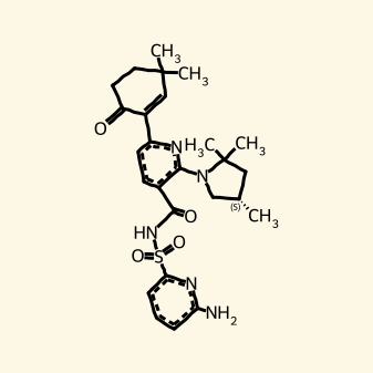 C[C@@H]1CN(c2nc(C3=CC(C)(C)CCC3=O)ccc2C(=O)NS(=O)(=O)c2cccc(N)n2)C(C)(C)C1